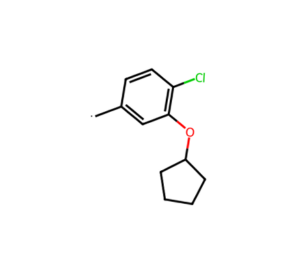 [CH2]c1ccc(Cl)c(OC2CCCC2)c1